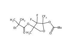 CCC(C)(C)C(=O)OC1(C)COC(OC(=O)C(C)(C)C)(C(F)(F)F)C1(F)F